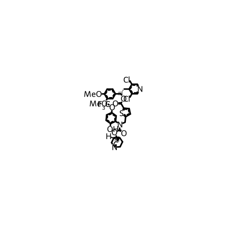 COc1ccc([C@H](Cc2c(Cl)cncc2Cl)OC(=O)c2ccc(CN(C(=O)O[C@H]3CN4CCC3CC4)c3cc(OC(F)(F)F)ccc3O)s2)cc1OC